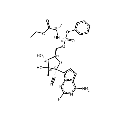 CCOC(=O)[C@H](C)N[P@](=O)(OC[C@H]1O[C@@](C#N)(c2ccc3c(N)nc(F)nn23)[C@](C)(O)[C@@H]1O)Oc1ccccc1